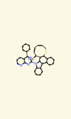 C=C1/C=C\C=C/CSc2c1c1c(c3ccccc23)c2ccccc2n1-c1nc(-c2ccccc2)c2cccnc2n1